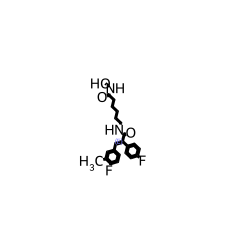 Cc1cc(/C=C(/C(=O)NCCCCCC(=O)NO)c2ccc(F)cc2)ccc1F